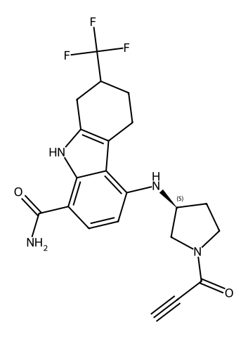 C#CC(=O)N1CC[C@H](Nc2ccc(C(N)=O)c3[nH]c4c(c23)CCC(C(F)(F)F)C4)C1